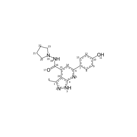 Cc1n[nH]c2nc(-c3ccc(O)cc3)cc(C(=O)NN3CCCC3)c12